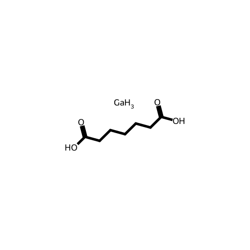 O=C(O)CCCCCC(=O)O.[GaH3]